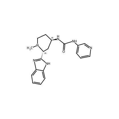 CN1CC[C@@H](NC(=O)Nc2cccnc2)C[C@@H]1c1nc2ccccc2[nH]1